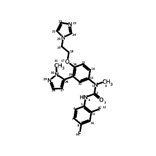 CN(C(=O)Nc1ccc(F)cc1F)c1ccc(OCCn2ccnc2)c(-c2ccnn2C)c1